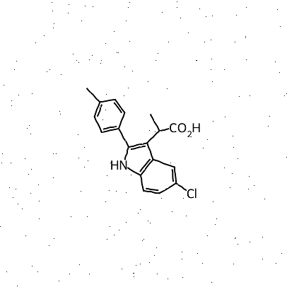 Cc1ccc(-c2[nH]c3ccc(Cl)cc3c2C(C)C(=O)O)cc1